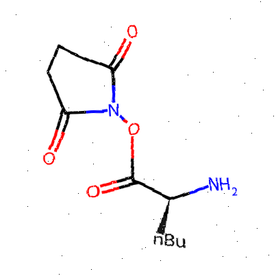 CCCC[C@H](N)C(=O)ON1C(=O)CCC1=O